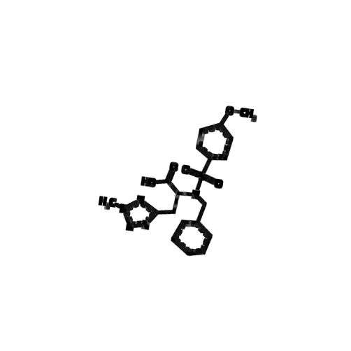 COc1ccc(S(=O)(=O)N(Cc2ccccc2)C(Cc2nnn(C)n2)C(=O)O)cc1